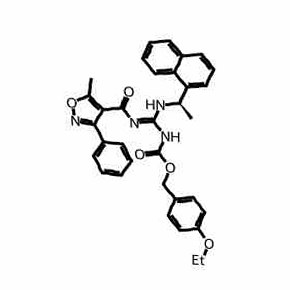 CCOc1ccc(COC(=O)N/C(=N/C(=O)c2c(-c3ccccc3)noc2C)N[C@H](C)c2cccc3ccccc23)cc1